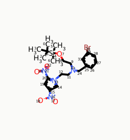 CC(C)(C)[Si](C)(C)OCCN(CCn1cc([N+](=O)[O-])cc1[N+](=O)[O-])Cc1cccc(Br)c1